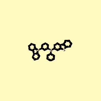 c1ccc(N(c2cccc(-n3c4ccccc4c4ccccc43)c2)c2ccc3c(c2)sc2ccccc23)cc1